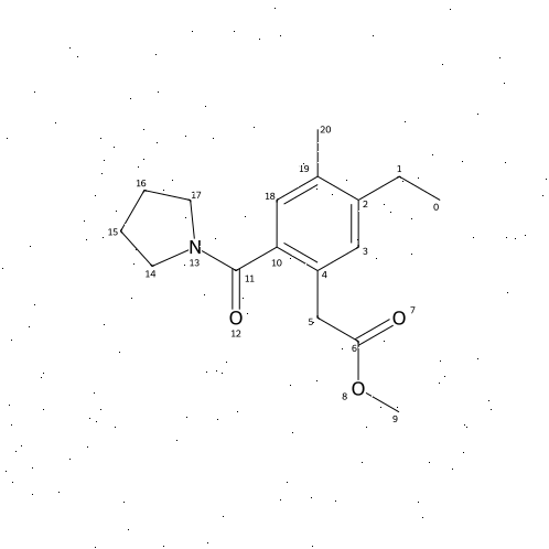 CCc1cc(CC(=O)OC)c(C(=O)N2CCCC2)cc1C